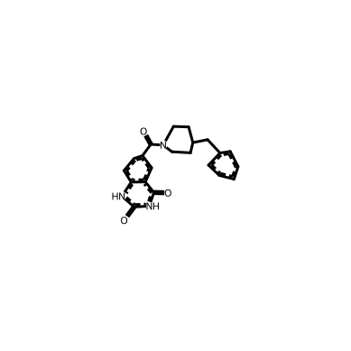 O=C(c1ccc2[nH]c(=O)[nH]c(=O)c2c1)N1CCC(Cc2ccccc2)CC1